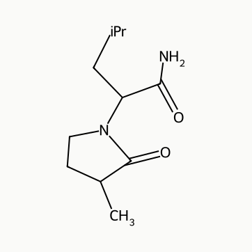 CC(C)CC(C(N)=O)N1CCC(C)C1=O